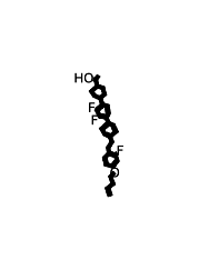 C=CCCOc1ccc(CCc2ccc(-c3ccc(C4CCC(C(C)O)CC4)c(F)c3F)cc2)c(F)c1